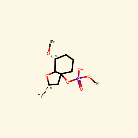 CC(C)O[C@@H]1CCCC2(OP(=O)(O)OC(C)C)C[C@H](C)OC12